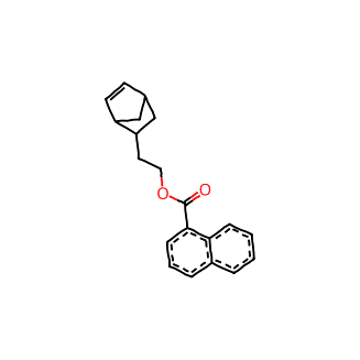 O=C(OCCC1CC2C=CC1C2)c1cccc2ccccc12